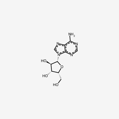 Nc1ncnc2c1ncn2[C@@H]1O[C@H](CO)[C@H](O)[C@H]1O